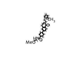 COCCNC(=O)c1ccc(-c2ccc3c(c2)CCN(CCN2CCC[C@H]2C)C3=O)cc1